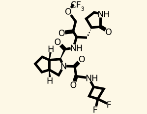 O=C(NC1CC(F)(F)C1)C(=O)N1C[C@@H]2CCC[C@@H]2[C@H]1C(=O)NC(C[C@@H]1CCNC1=O)C(=O)COC(F)(F)F